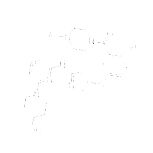 CC(=O)N1CCN(C(=O)c2cc(Sc3cnc(Nc4cccc(N5CCC(O)CC5)n4)s3)ccc2O)CC1